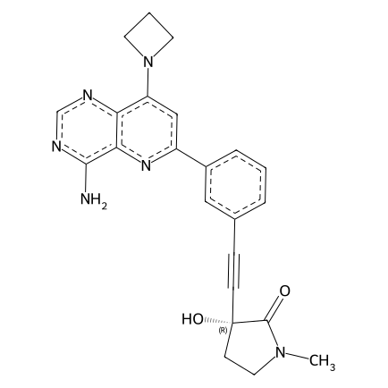 CN1CC[C@@](O)(C#Cc2cccc(-c3cc(N4CCC4)c4ncnc(N)c4n3)c2)C1=O